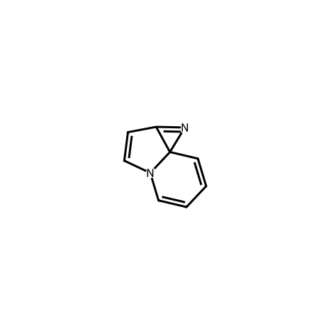 C1=CN2C=CC3=NC32C=C1